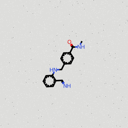 CNC(=O)c1ccc(CNc2ccccc2C=N)cc1